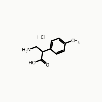 Cc1ccc(C(CN)C(=O)O)cc1.Cl